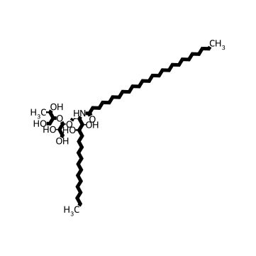 CCCCCCCCCCCCCCCCCCCCCCCCCC(=O)N[C@@H](CO[C@@H](OC(CO)[C@@H](C)O)[C@@H](O)CO)[C@H](O)[C@H](O)CCCCCCCCCCCCCC